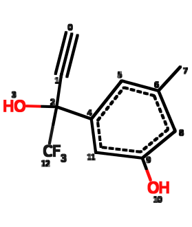 C#CC(O)(c1cc(C)cc(O)c1)C(F)(F)F